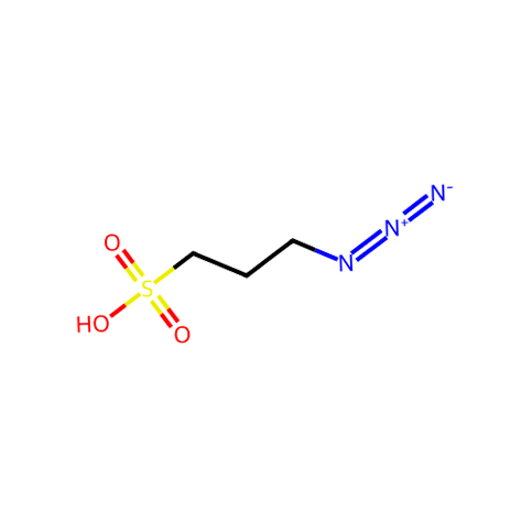 [N-]=[N+]=NCCCS(=O)(=O)O